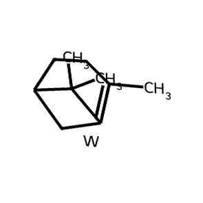 CC1=C2CC(CC1)C2(C)C.[W]